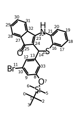 CC(C)(C)[Si](C)(C)Oc1cc(Br)cc(C2Sc3ccccc3NC3=C2C(=O)c2ccccc23)c1